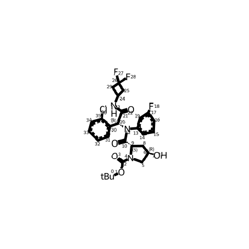 CC(C)(C)OC(=O)N1C[C@H](O)C[C@H]1C(=O)N(c1cccc(F)c1)[C@@H](C(=O)NC1CC(F)(F)C1)c1ccccc1Cl